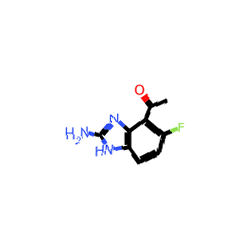 CC(=O)c1c(F)ccc2[nH]c(N)nc12